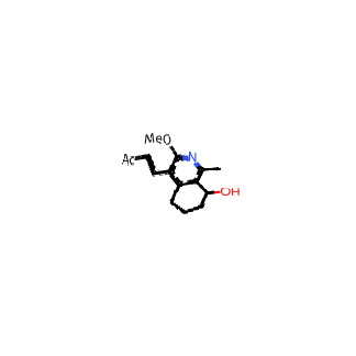 COc1nc(C)c2c(c1/C=C/C(C)=O)CCCC2O